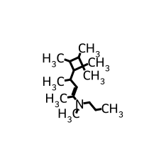 CCCN(C)/C(C)=C/C(C)C1C(C)C(C)C1(C)C